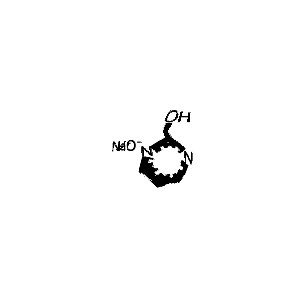 Oc1ncccn1.[Na+].[OH-]